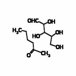 CCCCC(C)=O.O=CC(O)C(O)C(O)CO